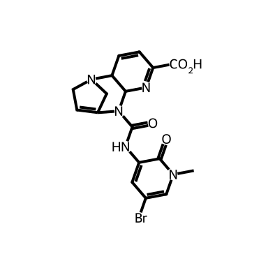 Cn1cc(Br)cc(NC(=O)N2C3=CCN(C3)C3C=CC(C(=O)O)=NC32)c1=O